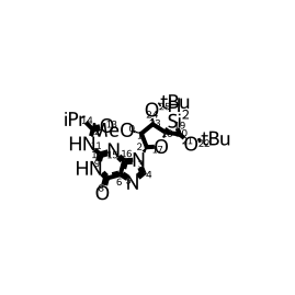 CO[C@H]1[C@H](n2cnc3c(=O)[nH]c(NC(=O)C(C)C)nc32)O[C@@]2([SiH2]C2OC(C)(C)C)[C@H]1OC(C)(C)C